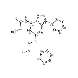 CCCOC1=Nc2c(ncn2-c2ccccc2)[C@H](NC(C)CO)N1.c1ccccc1